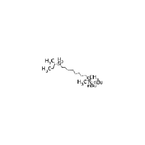 CC=C(C)[SiH2]CCCCCCCC[Si](C)(C)N(CCCC)CCCC